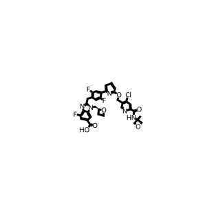 CC1(NC(=O)c2cc(Cl)c(COc3cccc(-c4cc(F)c(Cc5nc6c(F)cc(C(=O)O)cc6n5C[C@@H]5CCO5)cc4F)n3)cn2)COC1